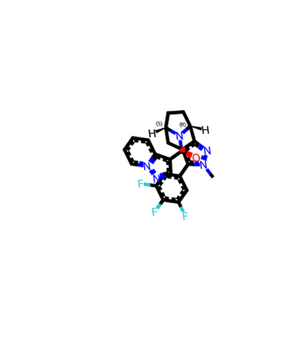 Cn1nc2c(c1-c1cc(F)c(F)c(F)c1)C[C@@H]1CC[C@H]2N1C(=O)c1cnn2ccccc12